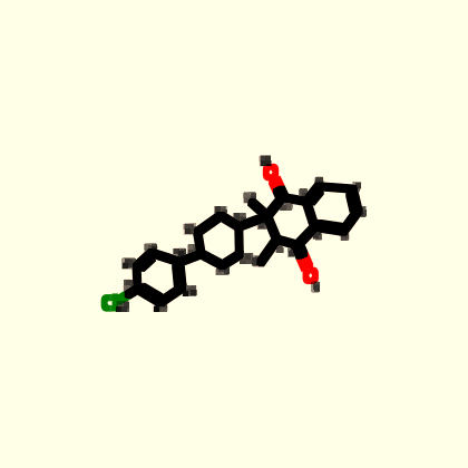 CC1C(=O)c2ccccc2C(=O)C1(C)C1CCC(c2ccc(Cl)cc2)CC1